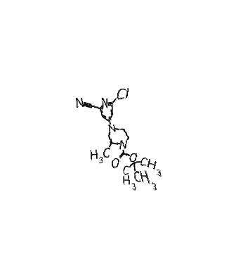 CC1CN(c2cc(Cl)nc(C#N)c2)CCN1C(=O)OC(C)(C)C